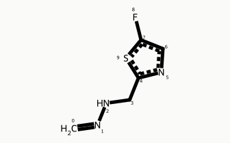 C=NNCc1ncc(F)s1